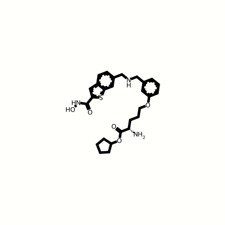 N[C@@H](CCCOc1cccc(CNCc2ccc3cc(C(=O)NO)sc3c2)c1)C(=O)OC1CCCC1